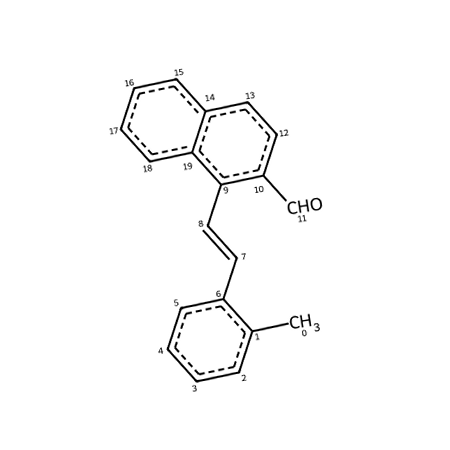 Cc1ccccc1C=Cc1c(C=O)ccc2ccccc12